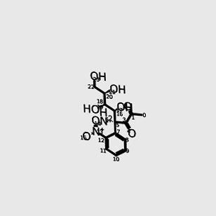 CC(=O)C(=O)[C@@](N)(c1ccccc1[N+](=O)[O-])[C@@H](O)[C@@H](O)[C@H](O)CO